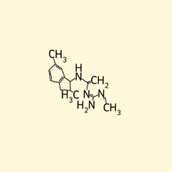 C=C(/N=C(N)\N=C/C)NC1c2cc(C)ccc2CC1C